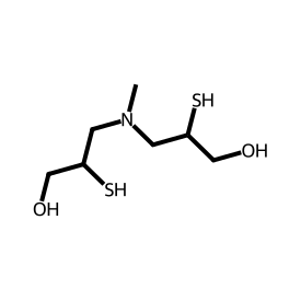 CN(CC(S)CO)CC(S)CO